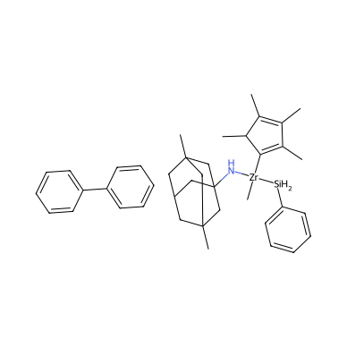 CC1=C(C)C(C)[C]([Zr]([CH3])([NH]C23CC4CC(C)(CC(C)(C4)C2)C3)[SiH2]c2ccccc2)=C1C.c1ccc(-c2ccccc2)cc1